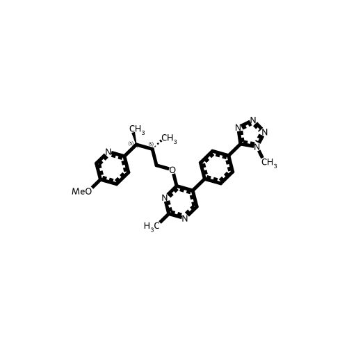 COc1ccc([C@@H](C)[C@H](C)COc2nc(C)ncc2-c2ccc(-c3nnnn3C)cc2)nc1